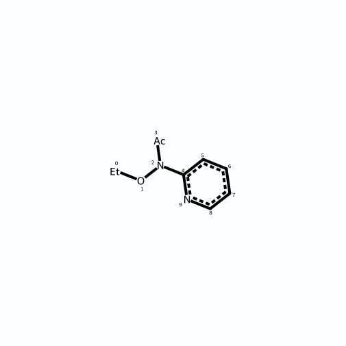 CCON(C(C)=O)c1ccccn1